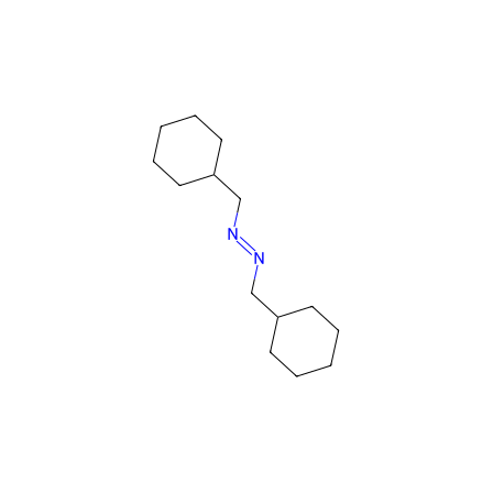 C1CCC(CN=NCC2CCCCC2)CC1